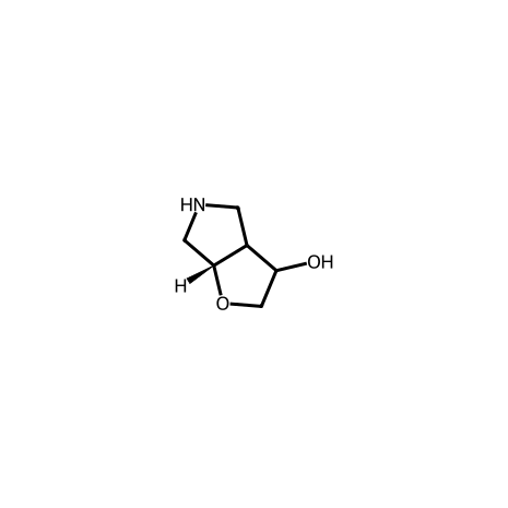 OC1CO[C@@H]2CNCC12